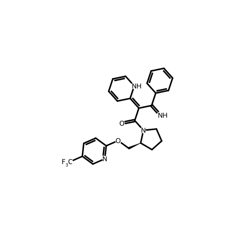 N=C(/C(C(=O)N1CCC[C@H]1COc1ccc(C(F)(F)F)cn1)=C1/C=CC=CN1)c1ccccc1